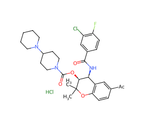 CC(=O)c1ccc2c(c1)[C@H](NC(=O)c1ccc(F)c(Cl)c1)[C@H](OC(=O)N1CCC(N3CCCCC3)CC1)C(C)(C)O2.Cl